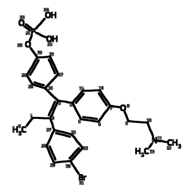 CCC(=C(c1ccc(OCCN(C)C)cc1)c1ccc(OP(=O)(O)O)cc1)c1ccc(Br)cc1